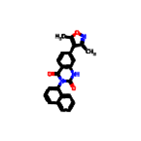 Cc1noc(C)c1-c1ccc2c(=O)n(-c3cccc4ccccc34)c(=O)[nH]c2c1